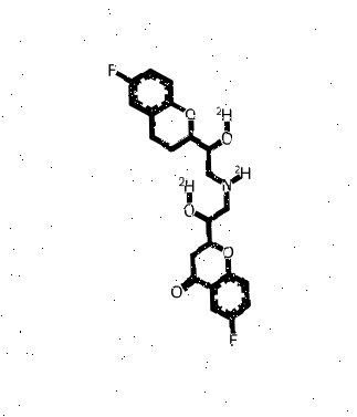 [2H]OC(CN([2H])CC(O[2H])C1CC(=O)c2cc(F)ccc2O1)C1CCc2cc(F)ccc2O1